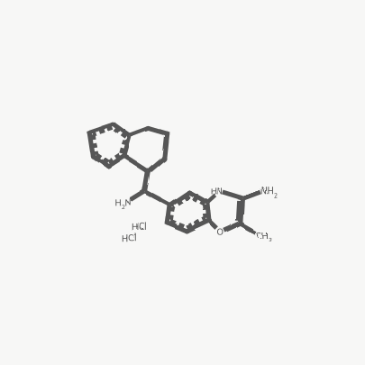 CC1=C(N)Nc2cc(C(N)C3CCCc4ccccc43)ccc2O1.Cl.Cl